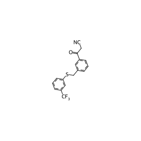 N#CCC(=O)c1cccc(CSc2cccc(C(F)(F)F)c2)c1